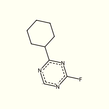 Fc1n[c]nc(C2CCCCC2)n1